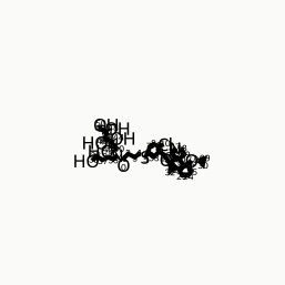 O=C(CCCSc1ccc(Cl)c(COC2(c3cnccc3-c3ccccc3OC3CC3)CC2)c1)N(CCCCO)C[C@H](O)[C@@H](O)[C@H](O)[C@H](O)CO